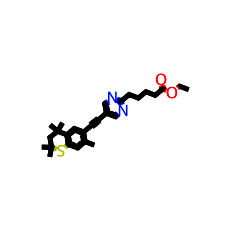 CCOC(=O)CCCCc1ncc(C#Cc2cc3c(cc2C)SC(C)(C)CC3(C)C)cn1